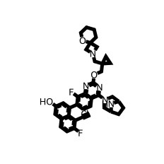 C#Cc1c(F)ccc2cc(O)cc(-c3c(Cl)cc4c(N5CC6CCC(C5)N6)nc(OCC5(CN6CC7(CCCCO7)C6)CC5)nc4c3F)c12